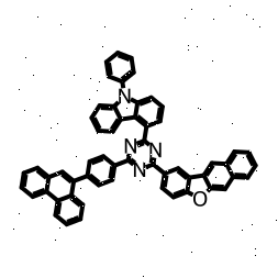 c1ccc(-n2c3ccccc3c3c(-c4nc(-c5ccc(-c6cc7ccccc7c7ccccc67)cc5)nc(-c5ccc6oc7cc8ccccc8cc7c6c5)n4)cccc32)cc1